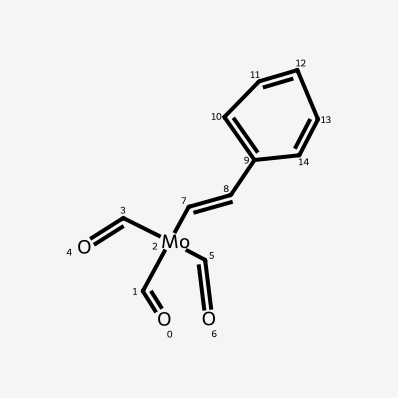 O=[CH][Mo]([CH]=O)([CH]=O)[CH]=Cc1ccccc1